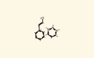 ClC=Cc1ccccc1.c1cnnnc1